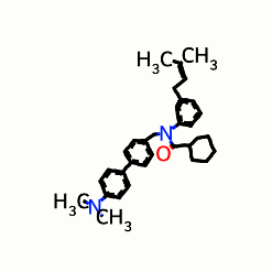 CC(C)=CCc1cccc(N(Cc2ccc(-c3ccc(N(C)C)cc3)cc2)C(=O)C2CCCCC2)c1